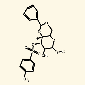 CCS[C@@H]1OC2COC(c3ccccc3)O[C@H]2[C@H](OS(=O)(=O)c2ccc(C)cc2)C1C